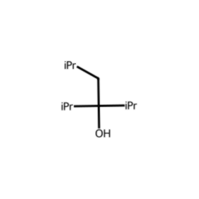 CC(C)CC(O)(C(C)C)C(C)C